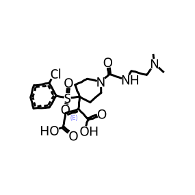 CN(C)CCNC(=O)N1CCC(/C(=C/C(=O)O)C(=O)O)(S(=O)(=O)c2ccccc2Cl)CC1